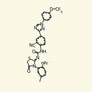 CCCc1ccc(C)cc1N1C(=O)CSC1=NC(=O)Nc1ccc(-c2ncn(-c3ccc(OC(F)(F)F)cc3)n2)cc1C#N